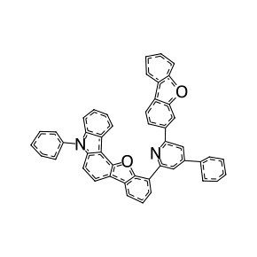 c1ccc(-c2cc(-c3ccc4c(c3)oc3ccccc34)nc(-c3cccc4c3oc3c4ccc4c3c3ccccc3n4-c3ccccc3)c2)cc1